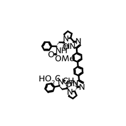 COC(=O)N[C@@H](CC(=O)N1CCCC1c1ncc(-c2ccc(-c3ccc(-c4cnc([C@@H]5CCCN5C(=O)C[C@@H](c5ccccc5)N(C)C(=O)O)[nH]4)cc3)cc2)[nH]1)c1ccccc1